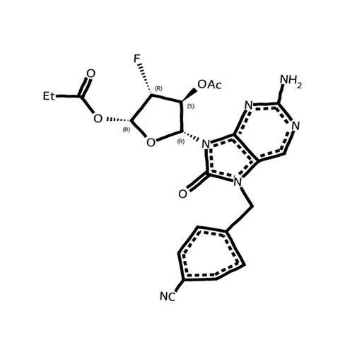 CCC(=O)O[C@H]1O[C@@H](n2c(=O)n(Cc3ccc(C#N)cc3)c3cnc(N)nc32)[C@H](OC(C)=O)[C@H]1F